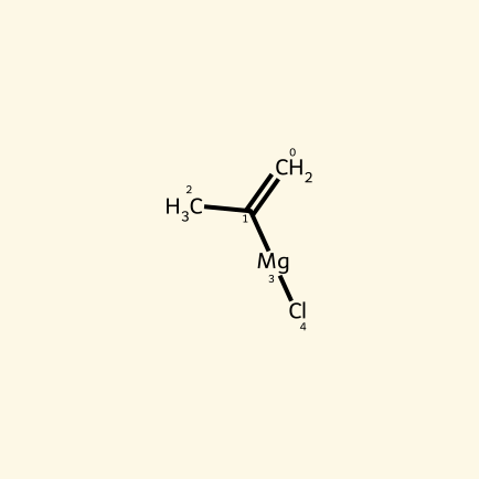 C=[C](C)[Mg][Cl]